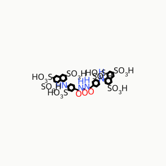 O=C(NC(=O)c1ccc(Nc2cc(S(=O)(=O)O)cc3cc(S(=O)(=O)O)cc(S(=O)(=O)O)c23)c(S(=O)(=O)O)c1)NC(=O)c1ccc(Nc2cc(S(=O)(=O)O)cc3cc(S(=O)(=O)O)cc(S(=O)(=O)O)c23)c(S(=O)(=O)O)c1